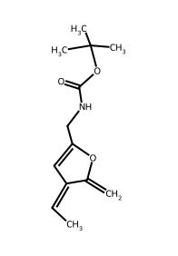 C=c1oc(CNC(=O)OC(C)(C)C)c/c1=C/C